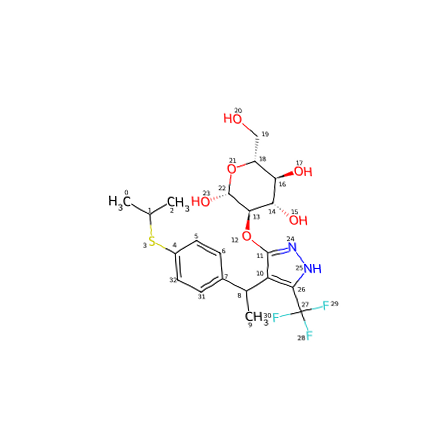 CC(C)Sc1ccc(C(C)c2c(O[C@@H]3[C@@H](O)[C@H](O)[C@@H](CO)O[C@H]3O)n[nH]c2C(F)(F)F)cc1